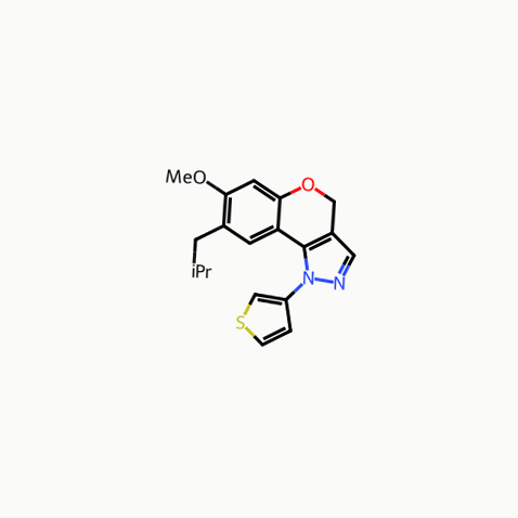 COc1cc2c(cc1CC(C)C)-c1c(cnn1-c1ccsc1)CO2